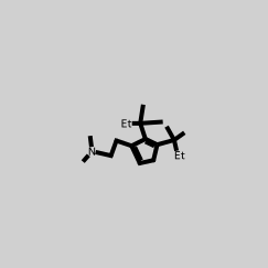 CCC(C)(C)C1=C(C(C)(C)CC)C(CCN(C)C)=CC1